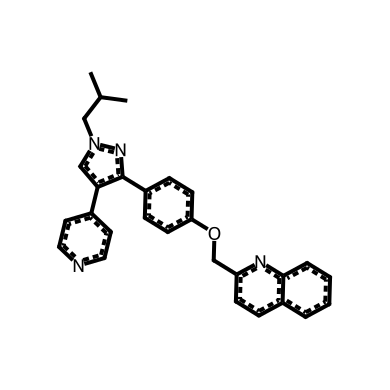 CC(C)Cn1cc(-c2ccncc2)c(-c2ccc(OCc3ccc4ccccc4n3)cc2)n1